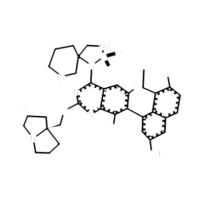 CCc1c(F)ccc2cc(O)cc(-c3c(F)cc4c(N5C6(CCCNC6)CNS5(=O)=O)nc(OC[C@@]56CCCN5C[C@H](F)C6)nc4c3F)c12